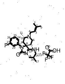 CC(C)=CCN1CC[C@@]2(C[C@@H]1C)C(N[C@H](C)C(C)C)=NC(=O)N2c1cccc(F)c1.O=C(O)C(F)(F)F